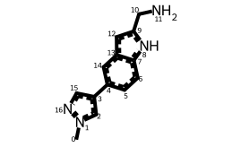 Cn1cc(-c2ccc3[nH]c(CN)cc3c2)cn1